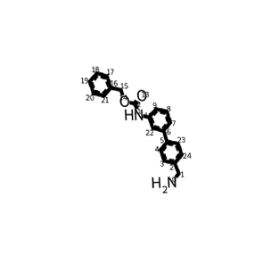 NCc1ccc(-c2cccc(NC(=O)OCc3ccccc3)c2)cc1